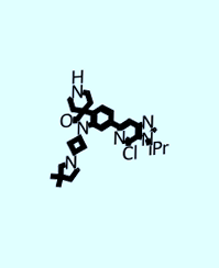 CC(C)n1cnc2cc(-c3ccc4c(c3)N([C@H]3C[C@@H](N5CCC(C)(C)C5)C3)C(=O)C43CCNCC3)nc(Cl)c21